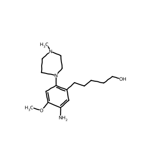 COc1cc(N2CCN(C)CC2)c(CCCCCO)cc1N